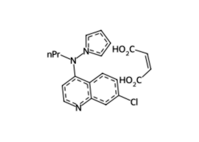 CCCN(c1ccnc2cc(Cl)ccc12)n1cccc1.O=C(O)/C=C\C(=O)O